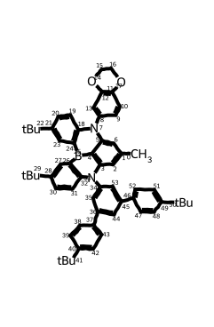 Cc1cc2c3c(c1)N(c1ccc4c(c1)OCCO4)c1ccc(C(C)(C)C)cc1B3c1cc(C(C)(C)C)ccc1N2c1cc(-c2ccc(C(C)(C)C)cc2)cc(-c2ccc(C(C)(C)C)cc2)c1